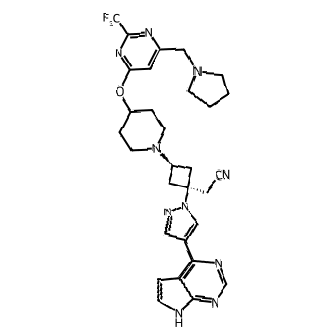 N#CC[C@]1(n2cc(-c3ncnc4[nH]ccc34)cn2)C[C@@H](N2CCC(Oc3cc(CN4CCCC4)nc(C(F)(F)F)n3)CC2)C1